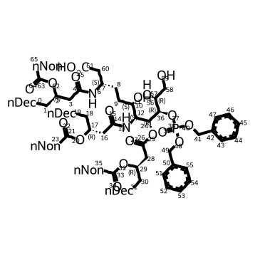 CCCCCCCCCCC[C@H](CC(=O)N[C@@H](CC[C@H](O)[C@H](NC(=O)C[C@@H](CCCCCCCCCCC)OC(=O)CCCCCCCCC)[C@@H](OC(=O)C[C@@H](CCCCCCCCCCC)OC(=O)CCCCCCCCC)[C@H](OP(=O)(OCc1ccccc1)OCc1ccccc1)[C@H](O)CO)CC(=O)O)OC(=O)CCCCCCCCC